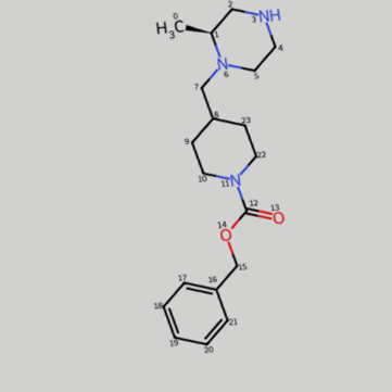 C[C@H]1CNCCN1CC1CCN(C(=O)OCc2ccccc2)CC1